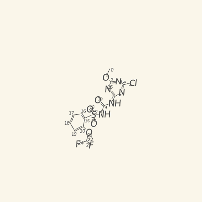 COc1nc(Cl)nc(NC(=O)NS(=O)(=O)c2ccccc2OC(F)F)n1